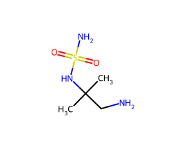 CC(C)(CN)NS(N)(=O)=O